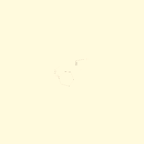 C1CCCCC1.C=CC.C=CC